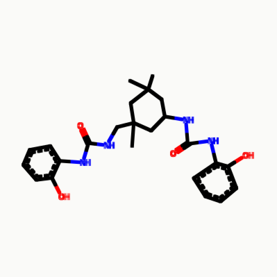 CC1(C)CC(NC(=O)Nc2ccccc2O)CC(C)(CNC(=O)Nc2ccccc2O)C1